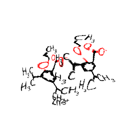 CCCOc1c(C(=O)[O-])cc(C(C)C)cc1C(C)C.CCCOc1c(C(=O)[O-])cc(C(C)C)cc1C(C)C.[Zn+2]